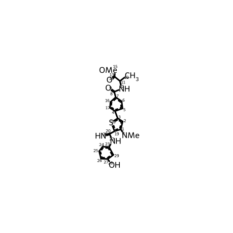 CNc1cc(-c2ccc(C(=O)NC(C)C(=O)OC)cc2)sc1C(=N)Nc1cccc(O)c1